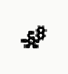 OCC1O[C@@H](Oc2ccc3ccccc3c2)C(O)[C@H](O)C1O